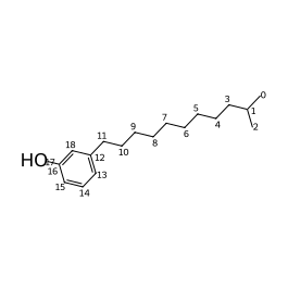 CC(C)CCCCCCCCCc1cccc(O)c1